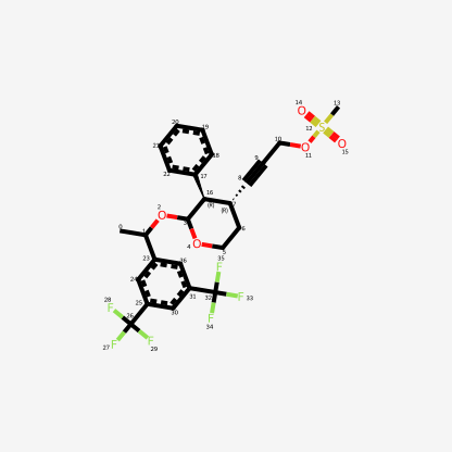 CC(OC1OCC[C@@H](C#CCOS(C)(=O)=O)[C@@H]1c1ccccc1)c1cc(C(F)(F)F)cc(C(F)(F)F)c1